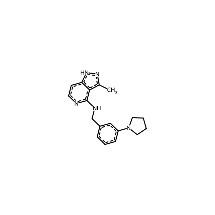 Cc1n[nH]c2ccnc(NCc3cccc(N4CCCC4)c3)c12